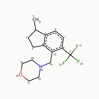 CC1CCc2c1ccc(C(F)(F)F)c2CN1CCOCC1